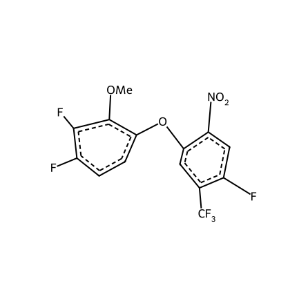 COc1c(Oc2cc(C(F)(F)F)c(F)cc2[N+](=O)[O-])ccc(F)c1F